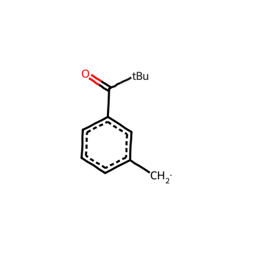 [CH2]c1cccc(C(=O)C(C)(C)C)c1